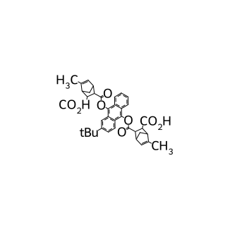 CC1=CC2CC1C(C(=O)O)C2C(=O)Oc1c2ccccc2c(OC(=O)C2C3C=C(C)C(C3)C2C(=O)O)c2cc(C(C)(C)C)ccc12